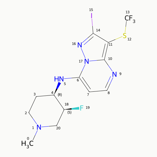 CN1CC[C@@H](Nc2ccnc3c(SC(F)(F)F)c(I)nn23)[C@@H](F)C1